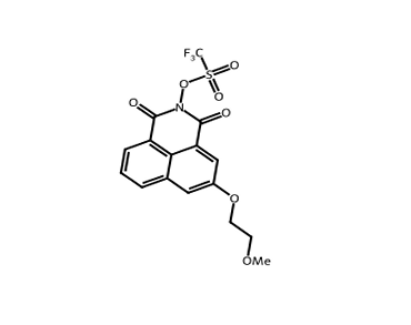 COCCOc1cc2c3c(cccc3c1)C(=O)N(OS(=O)(=O)C(F)(F)F)C2=O